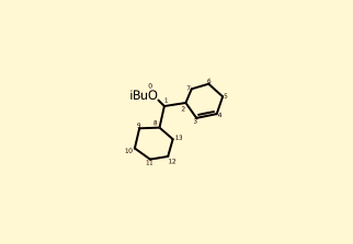 CC(C)COC(C1C=CCCC1)C1CCCCC1